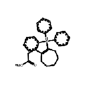 COC(=O)COC1=C([PH](c2ccccc2)(c2ccccc2)c2ccccc2)CCCCC1